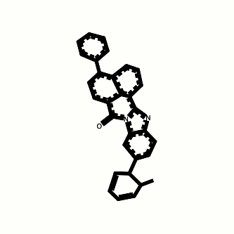 CC1C=CC=CC1c1ccc2nc3c4cccc5c(-c6ccccc6)ccc(c(=O)n3c2c1)c54